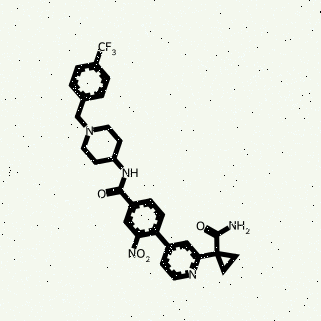 NC(=O)C1(c2cc(-c3ccc(C(=O)NC4CCN(Cc5ccc(C(F)(F)F)cc5)CC4)cc3[N+](=O)[O-])ccn2)CC1